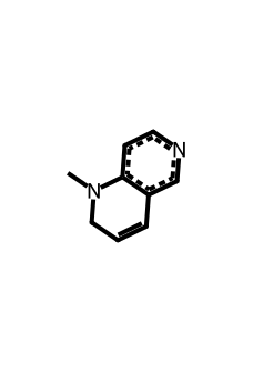 CN1CC=Cc2cnccc21